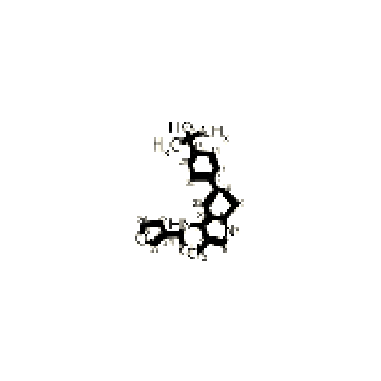 CC(Nc1c(Cl)cnc2ccc(-c3ccc(C(C)(C)O)cc3)cc12)c1ccoc1